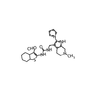 CN1CCc2c([nH]c(-n3cccc3)c2CNC(=O)NC2=C(C=O)C3CCCCC3S2)C1